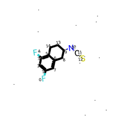 Fc1cc(F)c2c(c1)C[C@@H](N=C=S)CC2